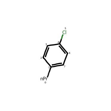 CCCc1[c]cc(Cl)cc1